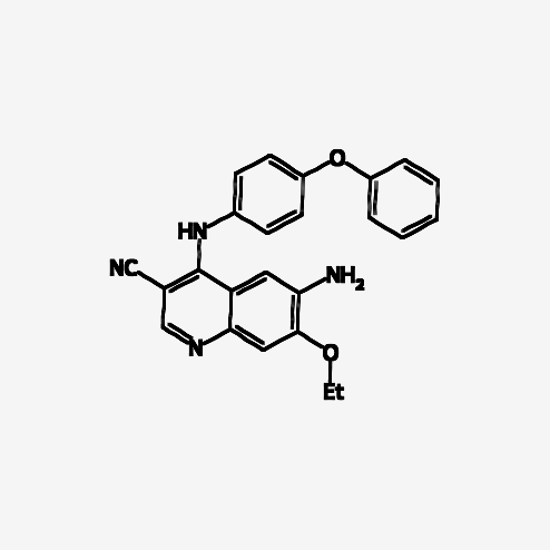 CCOc1cc2ncc(C#N)c(Nc3ccc(Oc4ccccc4)cc3)c2cc1N